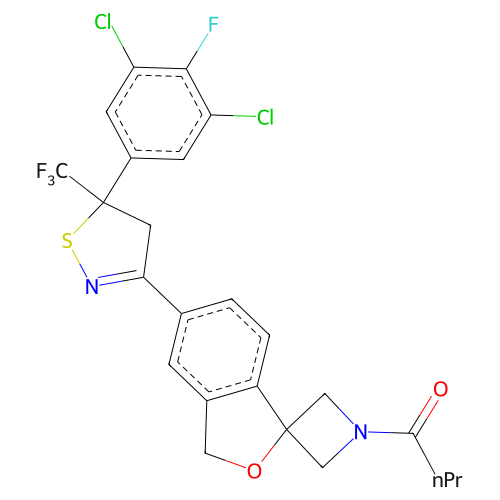 CCCC(=O)N1CC2(C1)OCc1cc(C3=NSC(c4cc(Cl)c(F)c(Cl)c4)(C(F)(F)F)C3)ccc12